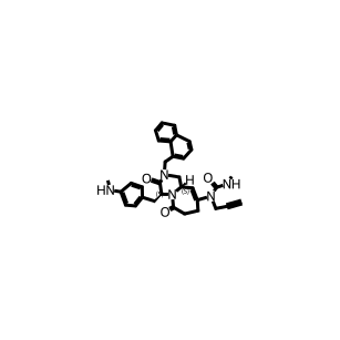 C#CCN(C(=O)NC)C1=C[C@H]2CN(Cc3cccc4ccccc34)C(=O)[C@H](Cc3ccc(NC)cc3)N2C(=O)CC1